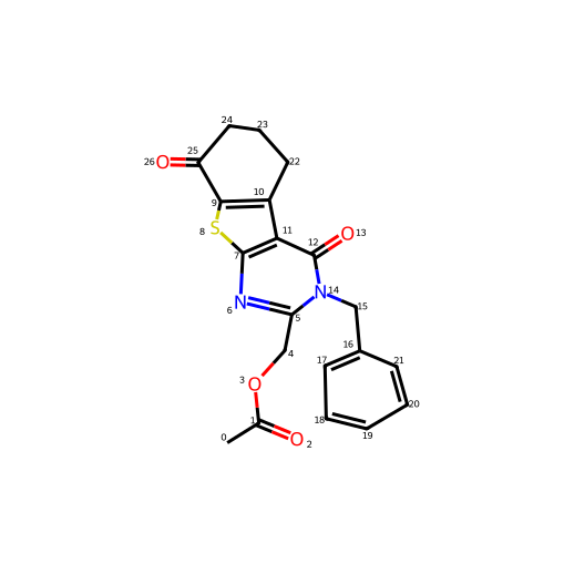 CC(=O)OCc1nc2sc3c(c2c(=O)n1Cc1ccccc1)CCCC3=O